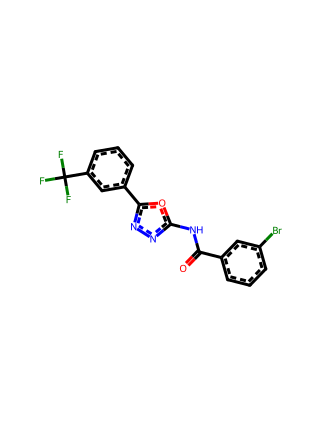 O=C(Nc1nnc(-c2cccc(C(F)(F)F)c2)o1)c1cccc(Br)c1